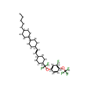 CCCCCC1CCC(C2CCC(/C=C/C3CCC(C(F)(F)Oc4ccc(OC(F)(F)F)c(F)c4)CC3)CC2)CC1